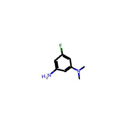 CN(C)c1cc(N)cc(F)c1